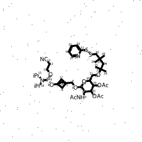 CC(=O)NC1C(OCC23CC(OP(OCCC#N)N(C(C)C)C(C)C)(C2)C3)OC(COC(C)(C)CC(C)(C)CSSc2ccccn2)C(OC(C)=O)C1OC(C)=O